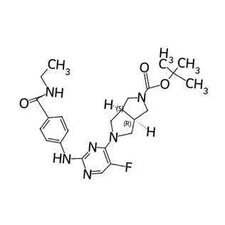 CCNC(=O)c1ccc(Nc2ncc(F)c(N3C[C@H]4CN(C(=O)OC(C)(C)C)C[C@H]4C3)n2)cc1